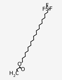 C=CC(=O)OCCCCCCCCCCCCCCCCCCC[Si](F)(F)F